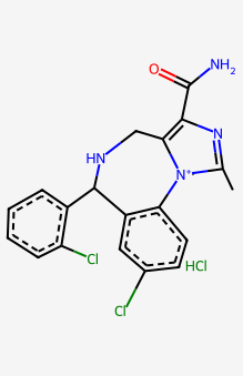 CC1=NC(C(N)=O)=C2CNC(c3ccccc3Cl)c3cc(Cl)ccc3[N+]12.Cl